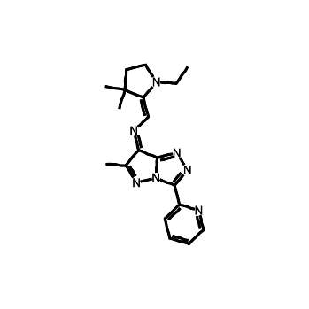 CCN1CCC(C)(C)C1=CN=C1C(C)=Nn2c1nnc2-c1ccccn1